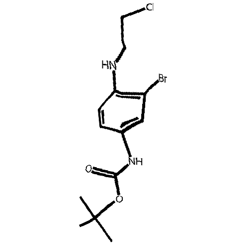 CC(C)(C)OC(=O)Nc1ccc(NCCCl)c(Br)c1